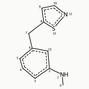 CNc1cccc(Cc2ccns2)c1